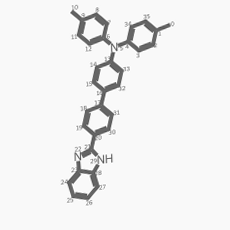 Cc1ccc(N(c2ccc(C)cc2)c2ccc(-c3ccc(-c4nc5ccccc5[nH]4)cc3)cc2)cc1